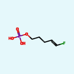 O=P(O)(O)OCCCC=CF